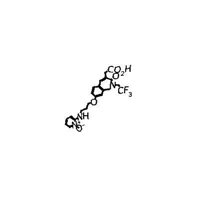 O=C(O)CC1=Cc2ccc(OCCCNc3cccc[n+]3[O-])cc2CN(CC(F)(F)F)C1=O